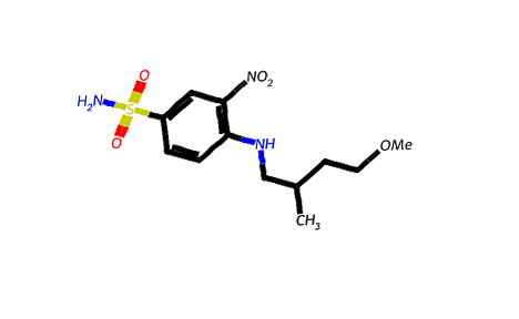 COCCC(C)CNc1ccc(S(N)(=O)=O)cc1[N+](=O)[O-]